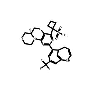 CS(=O)(=O)C1(c2nc(C3=CC(C(F)(F)F)=CC4=CC3CC=CN4)nc3c2OC[C@@H]2COCCN32)CCC1